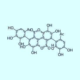 CC(=O)c1cc(O)c(O)c(O)c1-c1c(O)c(O)c2oc(=O)c3c(-c4c(C(C)=O)cc(O)c(O)c4O)c(O)c(O)c4oc(=O)c1c2c43